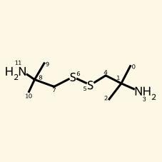 CC(C)(N)CSSCC(C)(C)N